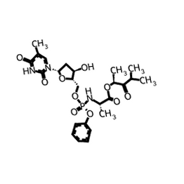 Cc1cn([C@@H]2C[C@@H](O)[C@H](COP(=O)(N[C@@H](C)C(=O)O[C@@H](C)C(=O)C(C)C)Oc3ccccc3)O2)c(=O)[nH]c1=O